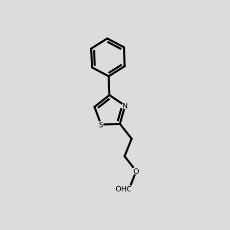 O=[C]OCCc1nc(-c2ccccc2)cs1